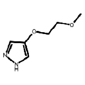 COCCOc1cn[nH]c1